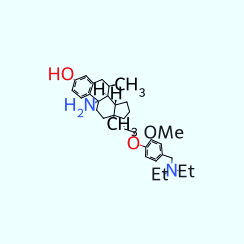 CCN(CC)Cc1ccc(OCC[C@H]2CC[C@H]3[C@@H]4[C@H](C)Cc5cc(O)ccc5[C@@]4(N)CC[C@]23C)c(OC)c1